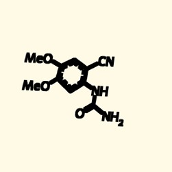 COc1cc(C#N)c(NC(N)=O)cc1OC